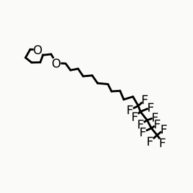 FC(F)(F)C(F)(F)C(F)(F)C(F)(F)C(F)(F)CCCCCCCCCCCOCC1CCCCO1